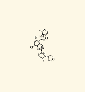 Cc1cccc(Cl)c1NC(=O)c1c(Br)cc(Cl)c(O)c1/C=N\Nc1ncc(F)c(N2CCOCC2)n1